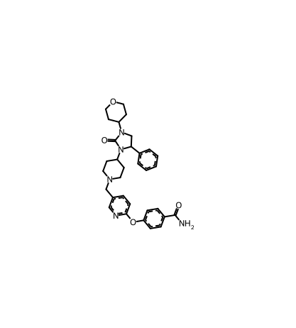 NC(=O)c1ccc(Oc2ccc(CN3CCC(N4C(=O)N(C5CCOCC5)CC4c4ccccc4)CC3)cn2)cc1